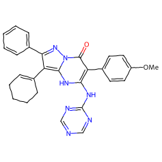 COc1ccc(-c2c(Nc3ncncn3)[nH]c3c(C4=CCCCC4)c(-c4ccccc4)nn3c2=O)cc1